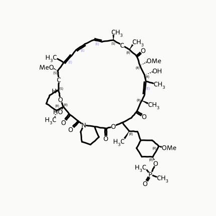 CO[C@H]1C[C@@H]2CC[C@@H](C)[C@@](O)(O2)C(=O)C(=O)N2CCCCC2C(=O)OC([C@H](C)CC2CC[C@@H](OP(C)(C)=O)[C@H](OC)C2)CC(=O)[C@H](C)/C=C(\C)[C@@H](O)[C@@H](OC)C(=O)[C@H](C)C[C@H](C)/C=C/C=C/C=C/1C